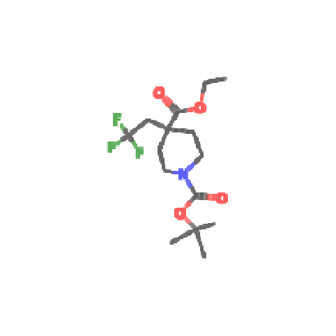 CCOC(=O)C1(CC(F)(F)F)CCN(C(=O)OC(C)(C)C)CC1